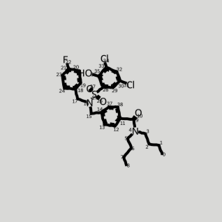 CCCCN(CCCC)C(=O)c1ccc(CN(Cc2ccc(F)cc2)S(=O)(=O)c2cc(Cl)cc(Cl)c2O)cc1